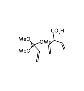 C=CC(C=C)C(=O)O.C=C[Si](OC)(OC)OC